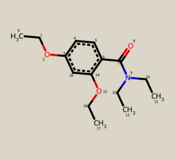 CCOc1ccc(C(=O)N(CC)CC)c(OCC)c1